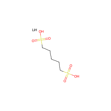 O=S(=O)(O)CCCCCS(=O)(=O)O.[LiH]